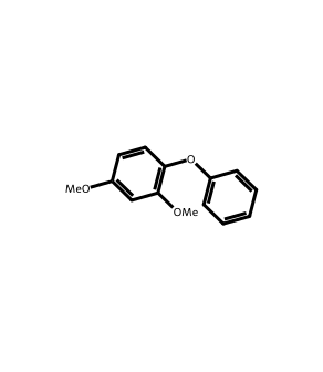 COc1ccc(Oc2ccccc2)c(OC)c1